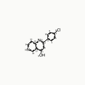 Oc1cc(-c2ccc(Cl)cc2)nc2ccncc12